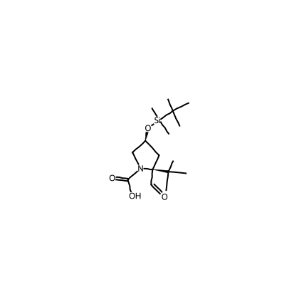 CC(C)(C)[C@]1(C=O)C[C@H](O[Si](C)(C)C(C)(C)C)CN1C(=O)O